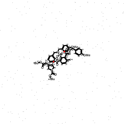 COc1ccc(CN(Cc2ccc(OC)cc2)S(=O)(=O)c2c(S(=O)(=O)N[C@@H]3CN(C(=O)OC(C)(C)C)C[C@@H]3NC(=O)OC(C)(C)C)ccc(I)c2-c2nnn(Cc3ccc(OC)cc3)n2)cc1